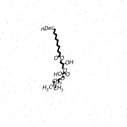 CCCCCCCCCCCCCCCCCCCC(=O)OC[C@H](O)COP(=O)(O)OCC[N+](C)(C)C